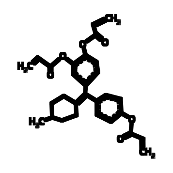 C=CC(=O)Oc1ccc(C(=C2CCC(C)CC2)c2ccc(OC(=O)C=C)c(OC(=O)C=C)c2)cc1